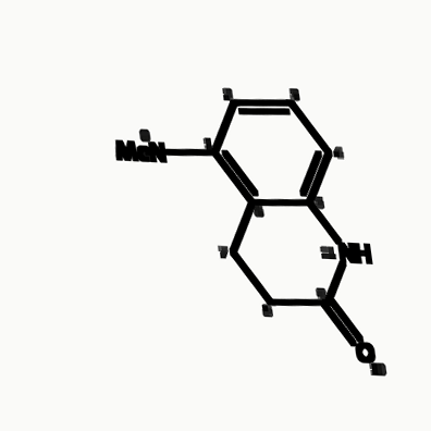 CNc1cccc2c1CCC(=O)N2